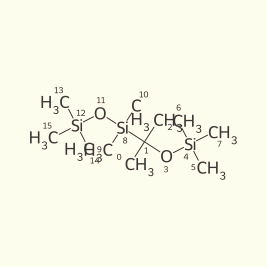 CC(C)(O[Si](C)(C)C)[Si](C)(C)O[Si](C)(C)C